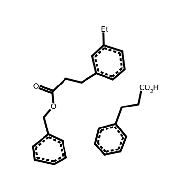 CCc1cccc(CCC(=O)OCc2ccccc2)c1.O=C(O)CCc1ccccc1